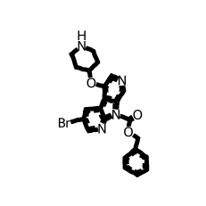 O=C(OCc1ccccc1)n1c2cncc(OC3CCNCC3)c2c2cc(Br)cnc21